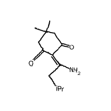 CC(C)CC(N)=C1C(=O)CC(C)(C)CC1=O